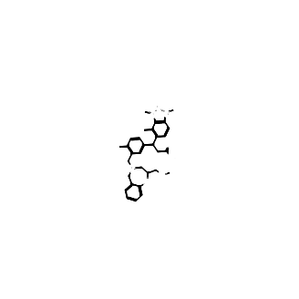 COCC1CN(Cc2cc(C(CC(=O)O)c3ccc4c(c3C)N(C)NN4C)ccc2C)Cc2ccccc2O1